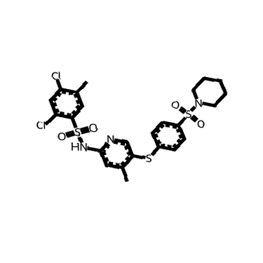 Cc1cc(S(=O)(=O)Nc2cc(C)c(Sc3ccc(S(=O)(=O)N4CCCCC4)cc3)cn2)c(Cl)cc1Cl